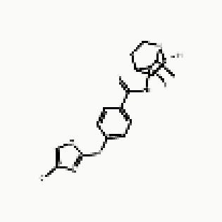 C[C@H]1[C@H](NC(=O)c2ccc(Sc3nc(Cl)co3)cc2)C2CCN1CC2